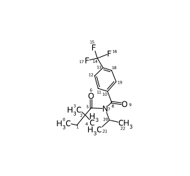 CCC(C)(C)C(=O)N(C(=O)c1ccc(C(F)(F)F)cc1)C(C)C